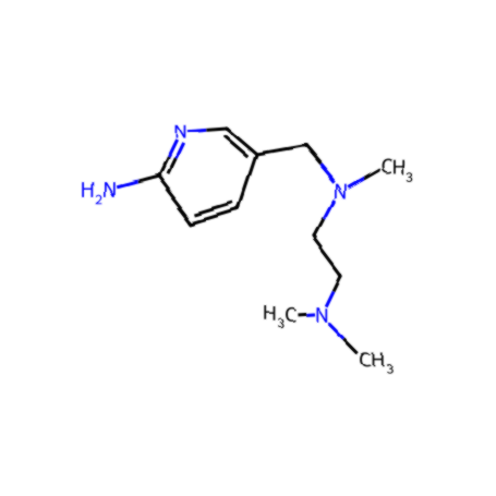 CN(C)CCN(C)Cc1ccc(N)nc1